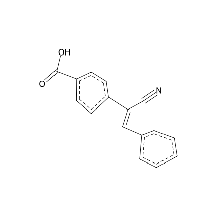 N#CC(=Cc1ccccc1)c1ccc(C(=O)O)cc1